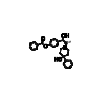 C[C@@H](C(O)c1ccc(OC(=O)c2ccccc2)cc1)N1CCC(O)(c2ccccc2)CC1